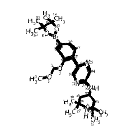 COCOc1cc(B2OC(C)(C)C(C)(C)O2)ccc1-c1cnc(NC2CC(C)(C)NC(C)(C)C2)cn1